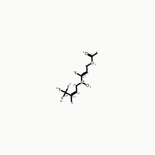 CC(=O)OC/C=C(\F)[S+]([O-])C/C=C(/C)C(F)(F)F